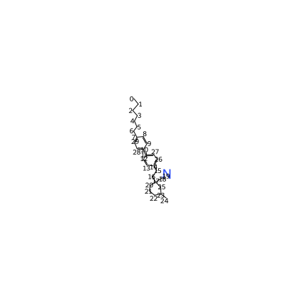 CCCCCCCc1ccc(-c2ccc(CCC3(C#N)CCCC(C)C3)cc2)cc1